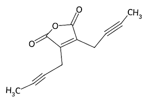 CC#CCC1=C(CC#CC)C(=O)OC1=O